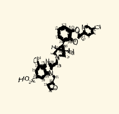 C[C@@]1(c2ccc(Cl)cn2)Oc2cccc([C@H]3[C@@H]4CN(Cc5nc6c(Cl)cc(C(=O)O)cc6n5C[C@@H]5CCO5)C[C@@H]43)c2O1